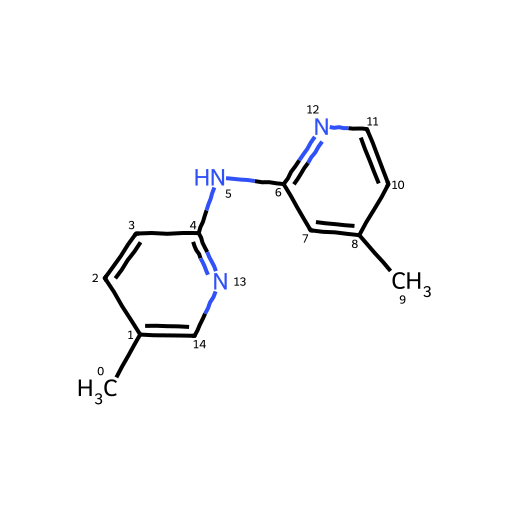 Cc1ccc(Nc2cc(C)ccn2)nc1